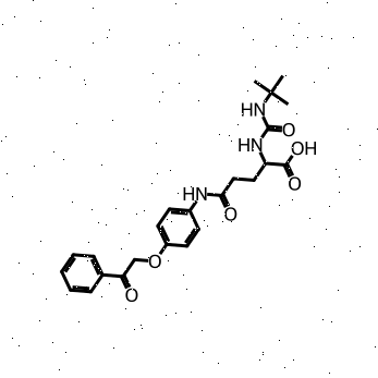 CC(C)(C)NC(=O)NC(CCC(=O)Nc1ccc(OCC(=O)c2ccccc2)cc1)C(=O)O